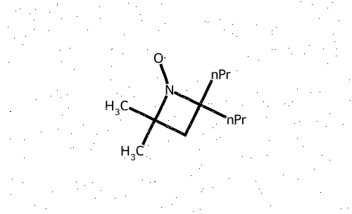 CCCC1(CCC)CC(C)(C)N1[O]